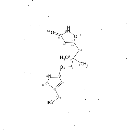 CC(C)(C)Cc1cc(OCC(C)(C)Cc2cc(=O)[nH]o2)no1